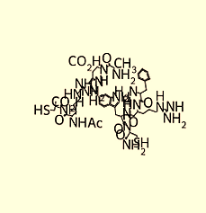 CC(=O)NC(CCCNC(=N)N)C(=O)NC(CS)C(=O)O.CC(N)C(=O)NC(Cc1c[nH]cn1)C(=O)O.N=C(N)NCCCC(NC(=O)C(N)Cc1ccccc1)C(=O)NC(Cc1c[nH]c2ccccc12)C(=O)NC(CS)C(N)=O